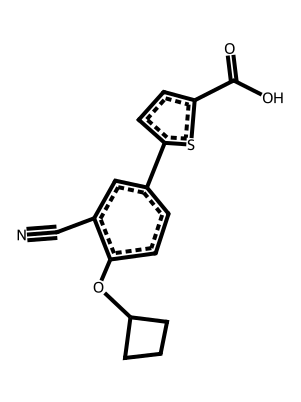 N#Cc1cc(-c2ccc(C(=O)O)s2)ccc1OC1CCC1